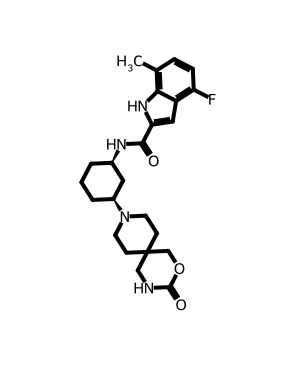 Cc1ccc(F)c2cc(C(=O)N[C@@H]3CCC[C@H](N4CCC5(CC4)CNC(=O)OC5)C3)[nH]c12